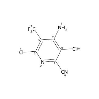 N#Cc1nc(Cl)c(C(F)(F)F)c(N)c1Cl